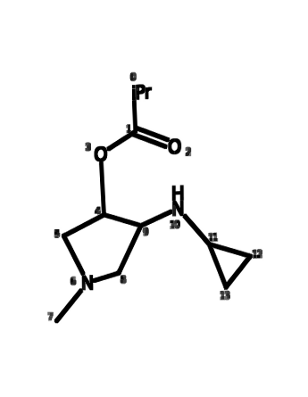 CC(C)C(=O)OC1CN(C)CC1NC1CC1